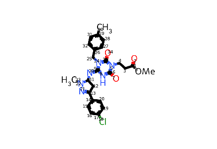 COC(=O)CCn1c(=O)[nH]/c(=N\C2CC(c3ccc(Cl)cc3)=NN2C)n(Cc2ccc(C)cc2)c1=O